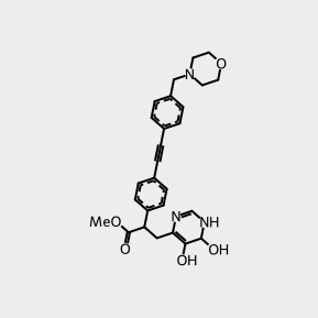 COC(=O)C(CC1=C(O)C(O)NC=N1)c1ccc(C#Cc2ccc(CN3CCOCC3)cc2)cc1